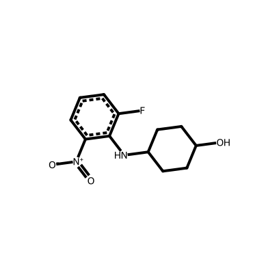 O=[N+]([O-])c1cccc(F)c1NC1CCC(O)CC1